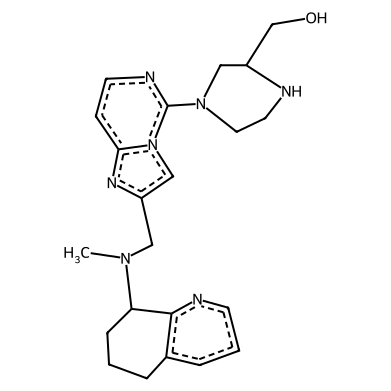 CN(Cc1cn2c(N3CCNC(CO)C3)nccc2n1)C1CCCc2cccnc21